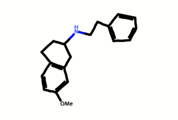 COc1ccc2c(c1)CC(NCCc1ccccc1)CC2